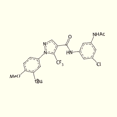 COc1ccc(-n2ncc(C(=O)Nc3cc(Cl)cc(NC(C)=O)c3)c2C(F)(F)F)cc1C(C)(C)C